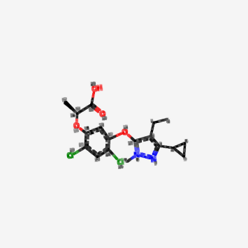 CCc1c(C2CC2)nn(C)c1Oc1cc(O[C@@H](C)C(=O)O)c(Cl)cc1Cl